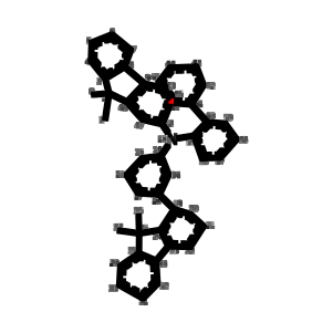 CC1(C)c2ccccc2-c2ccc(N(c3cccc(-c4cccc5c4C(C)(C)c4ccccc4-5)c3)c3ccccc3-c3ccccc3)cc21